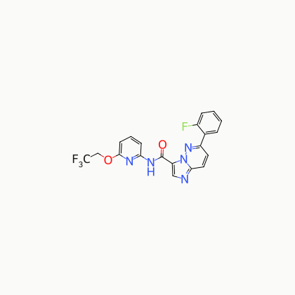 O=C(Nc1cccc(OCC(F)(F)F)n1)c1cnc2ccc(-c3ccccc3F)nn12